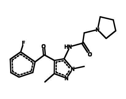 Cc1nn(C)c(NC(=O)CN2CCCC2)c1C(=O)c1ccccc1F